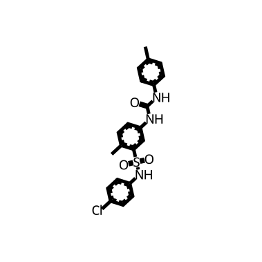 Cc1ccc(NC(=O)Nc2ccc(C)c(S(=O)(=O)Nc3ccc(Cl)cc3)c2)cc1